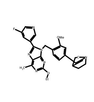 CCOc1nc(C)c2nc(-c3cncc(F)c3)n(Cc3ccc(C4=CN5CCC4CC5)cc3OC)c2n1